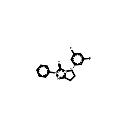 O=c1n(-c2ccccc2)nc2n1[C@H](c1cc(F)cc(F)c1)CC2